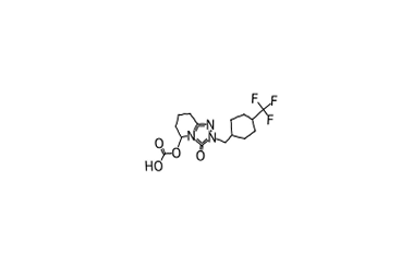 O=C(O)OC1CCCc2nn(CC3CCC(C(F)(F)F)CC3)c(=O)n21